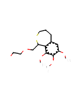 COc1cc2c(c(OC)c1OC)C(COCCO)SCCC2